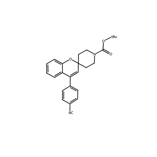 [C-]#[N+]c1ccc(C2=CC3(CCN(C(=O)OC(C)(C)C)CC3)Oc3ccccc32)cc1